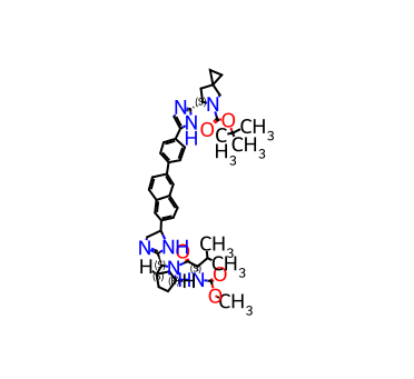 COC(=O)N[C@H](C(=O)N1[C@@H]2CC[C@@H](C2)[C@H]1C1=NCC(c2ccc3cc(-c4ccc(-c5cnc([C@@H]6CC7(CC7)CN6C(=O)OC(C)(C)C)[nH]5)cc4)ccc3c2)N1)C(C)C